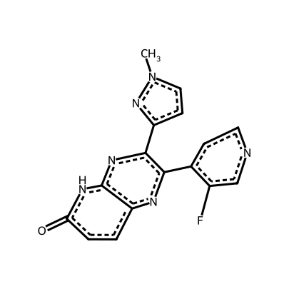 Cn1ccc(-c2nc3[nH]c(=O)ccc3nc2-c2ccncc2F)n1